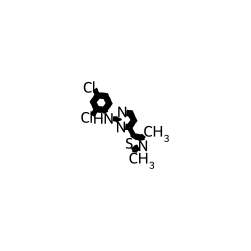 Cc1nc(C)c(-c2ccnc(Nc3ccc(Cl)cc3Cl)n2)s1